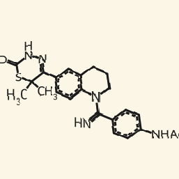 CC(=O)Nc1ccc(C(=N)N2CCCc3cc(C4=NNC(=O)SC4(C)C)ccc32)cc1